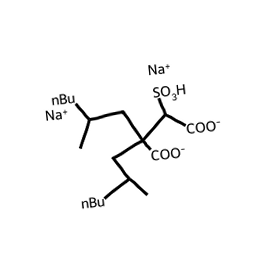 CCCCC(C)CC(CC(C)CCCC)(C(=O)[O-])C(C(=O)[O-])S(=O)(=O)O.[Na+].[Na+]